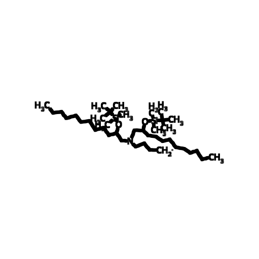 [CH2]CCCN(CC(CCCCCCCCCC)O[Si](C)(C)C(C)(C)C)CC(CCCCCCCCCC)O[Si](C)(C)C(C)(C)C